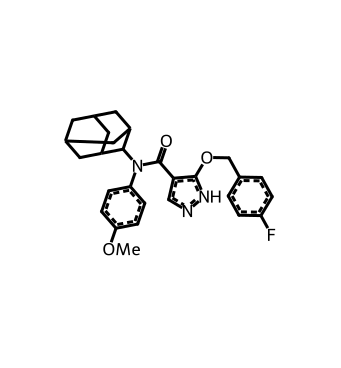 COc1ccc(N(C(=O)c2cn[nH]c2OCc2ccc(F)cc2)C2C3CC4CC(C3)CC2C4)cc1